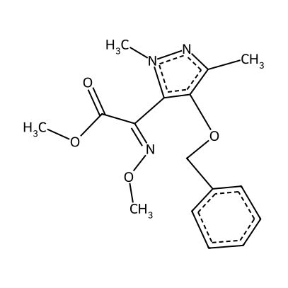 CON=C(C(=O)OC)c1c(OCc2ccccc2)c(C)nn1C